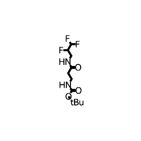 CC(C)(C)OC(=O)NCCC(=O)NCC(F)C(F)F